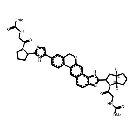 COC(=O)NCC(=O)N1CCCC1c1ncc(-c2ccc3c(c2)COc2cc4c(ccc5nc(C6C[C@@H]7CCC[C@@H]7N6C(=O)CNC(=O)OC)[nH]c54)cc2-3)[nH]1